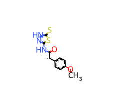 COc1ccc([CH]C(=O)Nc2n[nH]c(=S)s2)cc1